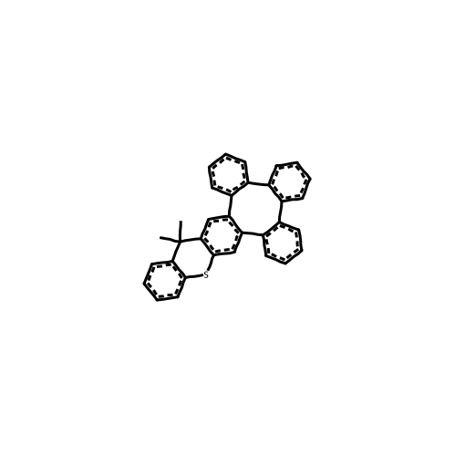 CC1(C)c2ccccc2Sc2cc3c(cc21)-c1ccccc1-c1ccccc1-c1ccccc1-3